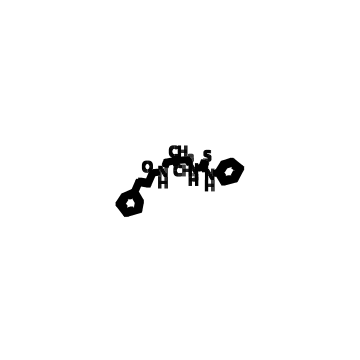 CC(C)(CNC(=O)/C=C/c1ccccc1)CNC(=S)Nc1ccccc1